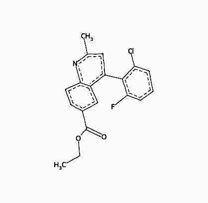 CCOC(=O)c1ccc2nc(C)cc(-c3c(F)cccc3Cl)c2c1